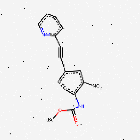 CC(C)(C)OC(=O)Nc1ccc(C#Cc2ccccn2)cc1[N+](=O)[O-]